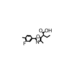 CCC(C(=O)O)c1oc(-c2ccc(C)c(F)c2)nc1C